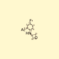 CC(=O)c1cc(F)ccc1NC1COC1